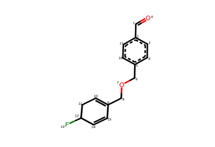 O=Cc1ccc(COCC2=CCC(F)C=C2)cc1